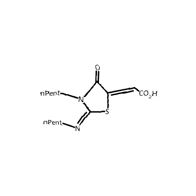 CCCCC/N=C1/S/C(=C\C(=O)O)C(=O)N1CCCCC